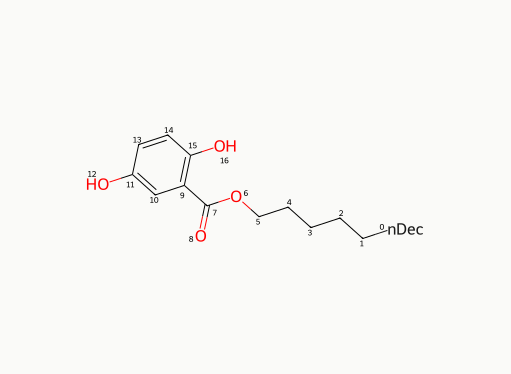 CCCCCCCCCCCCCCCOC(=O)c1cc(O)ccc1O